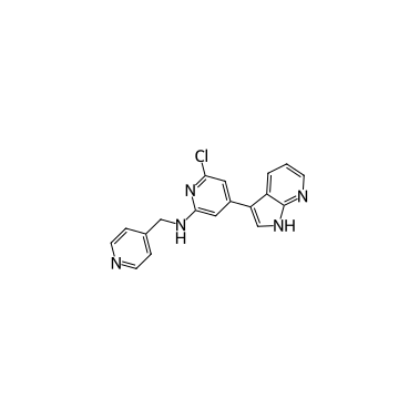 Clc1cc(-c2c[nH]c3ncccc23)cc(NCc2ccncc2)n1